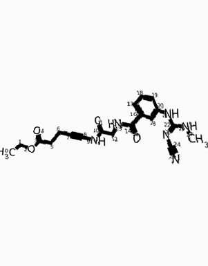 CCOC(=O)CCC#CNC(=O)CNC(=O)c1cccc(NC(=NC#N)NC)c1